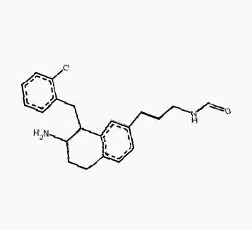 NC1CCc2ccc(CCCNC=O)cc2C1Cc1ccccc1Cl